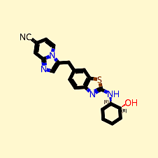 N#Cc1ccn2c(Cc3ccc4nc(N[C@@H]5CCCC[C@H]5O)sc4c3)cnc2c1